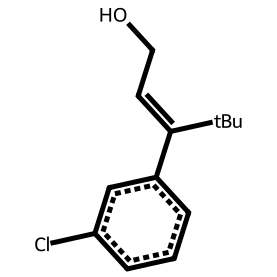 CC(C)(C)C(=CCO)c1cccc(Cl)c1